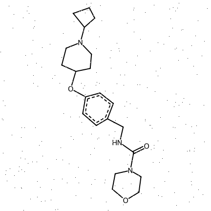 O=C(NCc1ccc(OC2CCN(C3CCC3)CC2)cc1)N1CCOCC1